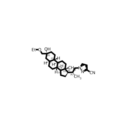 CCOC[C@@]1(O)CC[C@H]2[C@@H](CC[C@@H]3[C@@H]2CC[C@]2(C)[C@@H]([C@@H](C)Cn4ccc(C#N)n4)CC[C@@H]32)C1